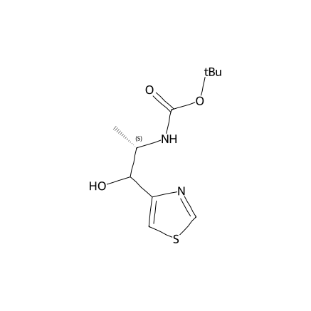 C[C@H](NC(=O)OC(C)(C)C)C(O)c1cscn1